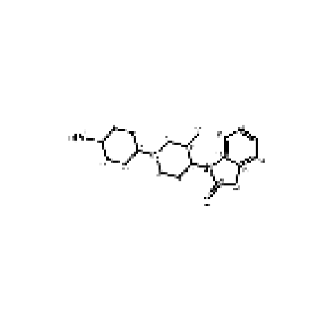 CCCC1CCC(N2CCC(N3C(=O)Cc4ccccc43)C(C)C2)CC1